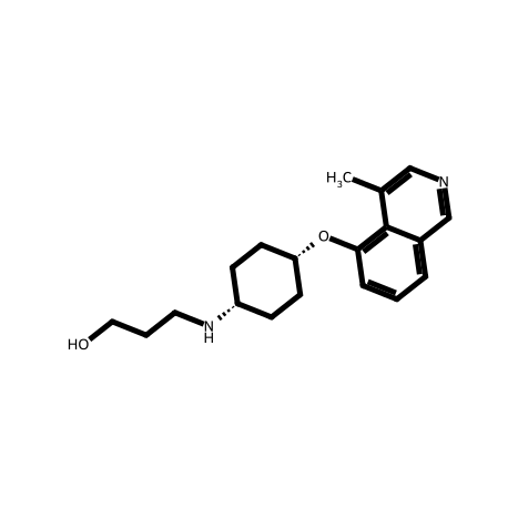 Cc1cncc2cccc(O[C@H]3CC[C@@H](NCCCO)CC3)c12